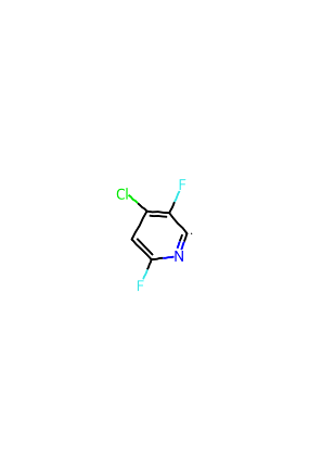 Fc1cc(Cl)c(F)[c]n1